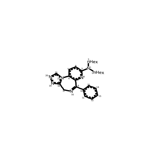 CCCCCCN(CCCCCC)c1ccc2c(n1)C(c1ccccc1)=NCc1nncn1-2